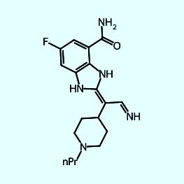 CCCN1CCC(/C(C=N)=C2\Nc3cc(F)cc(C(N)=O)c3N2)CC1